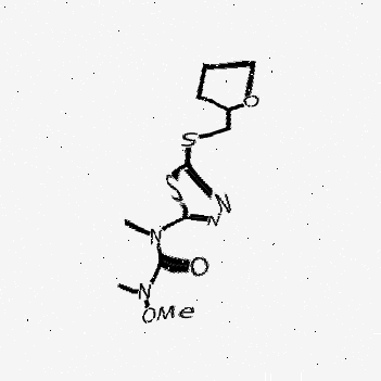 CON(C)C(=O)N(C)c1nnc(SCC2CCCO2)s1